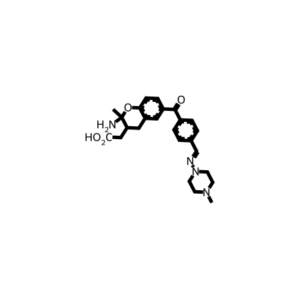 CN1CCN(N=Cc2ccc(C(=O)c3ccc4c(c3)CC(CC(=O)O)C(C)(N)O4)cc2)CC1